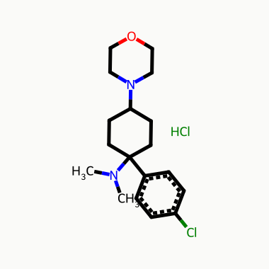 CN(C)C1(c2ccc(Cl)cc2)CCC(N2CCOCC2)CC1.Cl